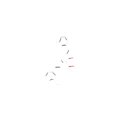 COC(=O)C(C(=O)/C=C/c1ccc(O)c(C)c1)C(=O)/C=C/c1ccc(O)c(CO)c1